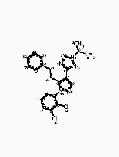 CC(C)n1nnc(-c2cnn(-c3cccc(Cl)c3Cl)c2SCc2ccccc2)n1